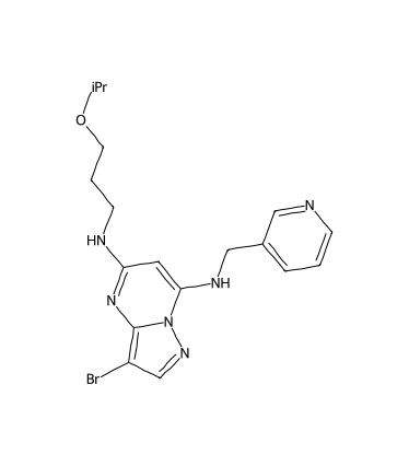 CC(C)OCCCNc1cc(NCc2cccnc2)n2ncc(Br)c2n1